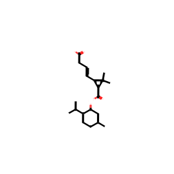 CC1CCC(C(C)C)C(OC(=O)C2C(/C=C/CC(=O)O)C2(C)C)C1